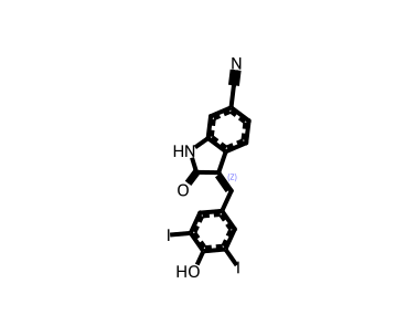 N#Cc1ccc2c(c1)NC(=O)/C2=C\c1cc(I)c(O)c(I)c1